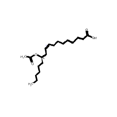 CCCCCC[C@H](C/C=C\CCCCCCCC(=O)O)OC(C)=O